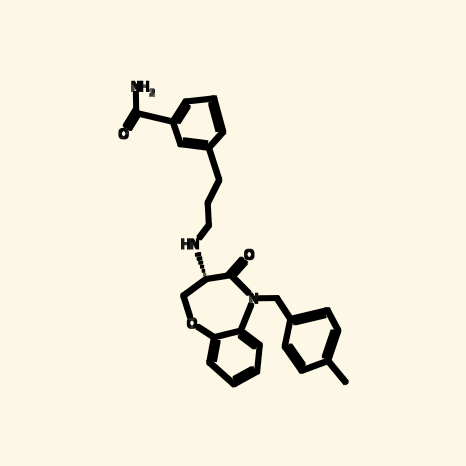 Cc1ccc(CN2C(=O)[C@@H](NCCCc3cccc(C(N)=O)c3)COc3ccccc32)cc1